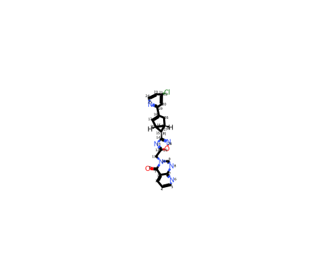 O=c1c2cccnc2ncn1Cc1nc([C@H]2[C@@H]3C=C(c4cc(Cl)ccn4)C[C@@H]32)no1